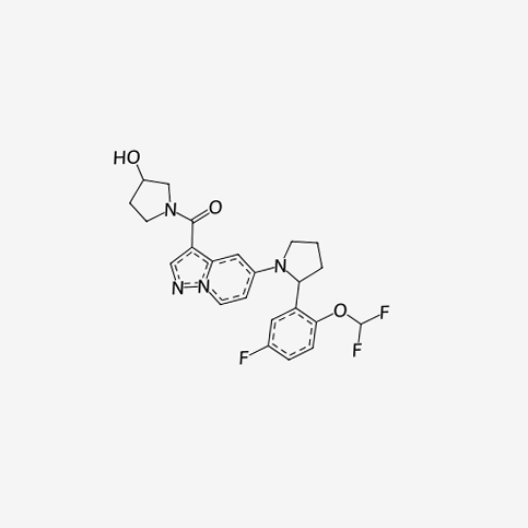 O=C(c1cnn2ccc(N3CCCC3c3cc(F)ccc3OC(F)F)cc12)N1CCC(O)C1